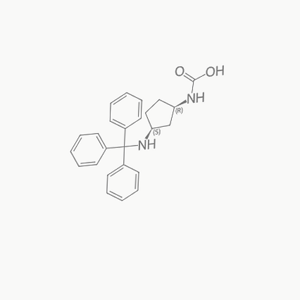 O=C(O)N[C@@H]1CC[C@H](NC(c2ccccc2)(c2ccccc2)c2ccccc2)C1